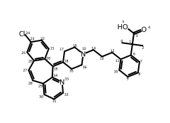 CC(C)(C(=O)O)c1ccccc1CCCN1CCC(=C2c3ccc(Cl)cc3C=Cc3cccnc32)CC1